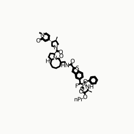 CCCOC(=O)[C@H](C)NP(=O)(Oc1ccccc1)C(F)c1ccc2sc(C(=O)NCC3CCCC[C@H]4CC[C@@H](C(=O)N5C[C@H](c6ccn(C)c(=O)c6)[C@@H](C)C5)N4C3=O)cc2c1